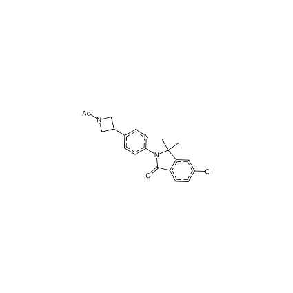 CC(=O)N1CC(c2ccc(N3C(=O)c4ccc(Cl)cc4C3(C)C)nc2)C1